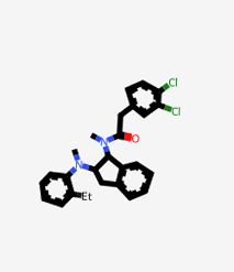 CCc1ccccc1N(C)C1Cc2ccccc2C1N(C)C(=O)Cc1ccc(Cl)c(Cl)c1